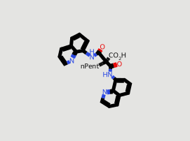 CCCCCC(C(=O)O)(C(=O)Nc1cccc2cccnc12)C(=O)Nc1cccc2cccnc12